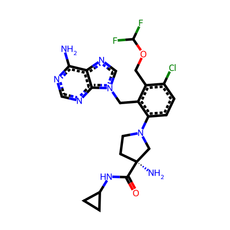 Nc1ncnc2c1ncn2Cc1c(N2CC[C@](N)(C(=O)NC3CC3)C2)ccc(Cl)c1COC(F)F